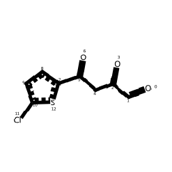 O=CC(=O)CC(=O)c1ccc(Cl)s1